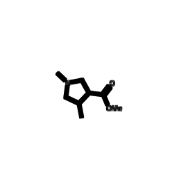 COC(=O)C1CN(C)CC1C